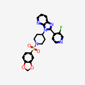 O=S(=O)(c1ccc2c(c1)OCO2)N1CCC(n2c(-c3ccncc3F)nc3cccnc32)CC1